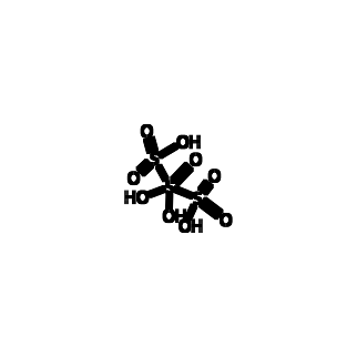 O=S(=O)(O)S(=O)(O)(O)S(=O)(=O)O